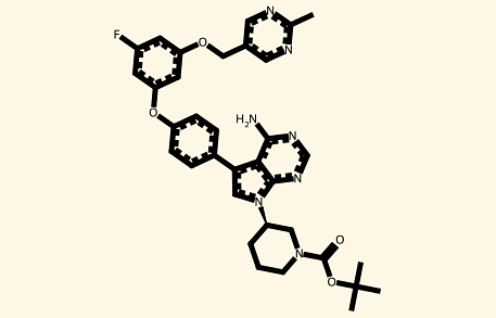 Cc1ncc(COc2cc(F)cc(Oc3ccc(-c4cn([C@@H]5CCCN(C(=O)OC(C)(C)C)C5)c5ncnc(N)c45)cc3)c2)cn1